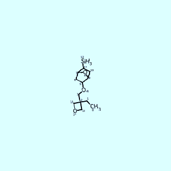 CCC1(COC2CC3OC2CC3[SiH3])COC1